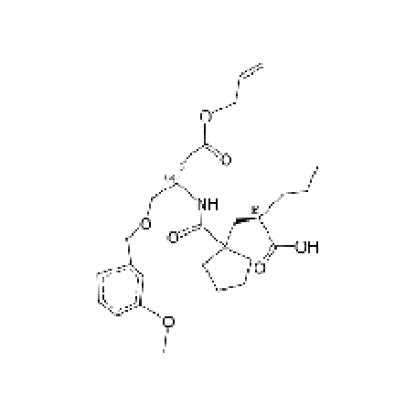 C=CCOC(=O)C[C@@H](COCc1cccc(OC)c1)NC(=O)C1(C[C@@H](CCC)C(=O)O)CCCC1